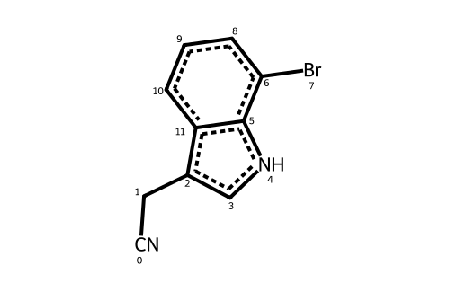 N#CCc1c[nH]c2c(Br)cccc12